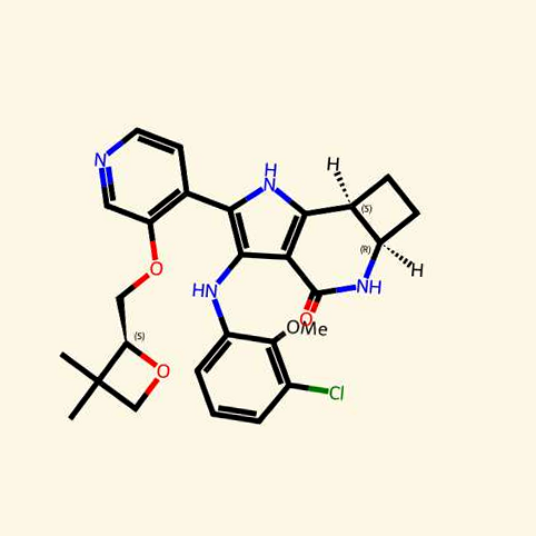 COc1c(Cl)cccc1Nc1c(-c2ccncc2OC[C@H]2OCC2(C)C)[nH]c2c1C(=O)N[C@@H]1CC[C@H]21